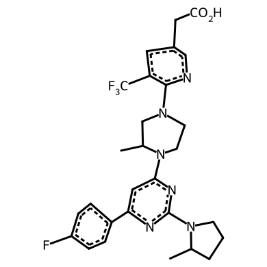 CC1CN(c2ncc(CC(=O)O)cc2C(F)(F)F)CCN1c1cc(-c2ccc(F)cc2)nc(N2CCCC2C)n1